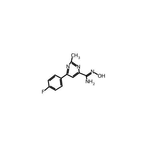 Cc1nc(C(N)=NO)cc(-c2ccc(F)cc2)n1